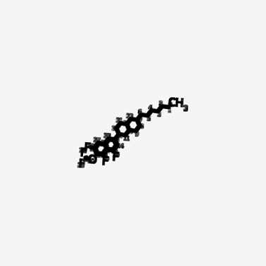 CCCCCCCC1CCC2CC(c3cc(F)c4c(F)c(OC(F)F)c(F)cc4c3)CCC2C1